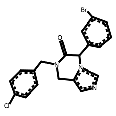 O=C1C(c2cccc(Br)c2)n2cncc2CN1Cc1ccc(Cl)cc1